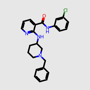 O=C(Nc1cccc(Cl)c1)c1cccnc1NC1CCCN(Cc2ccccc2)C1